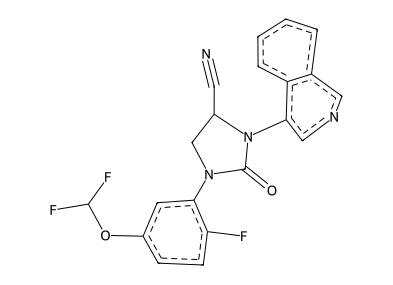 N#CC1CN(c2cc(OC(F)F)ccc2F)C(=O)N1c1cncc2ccccc12